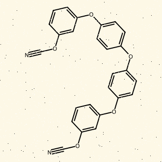 N#COc1cccc(Oc2ccc(Oc3ccc(Oc4cccc(OC#N)c4)cc3)cc2)c1